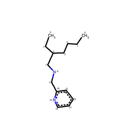 CCCCC(CC)C[N]Cc1ccccn1